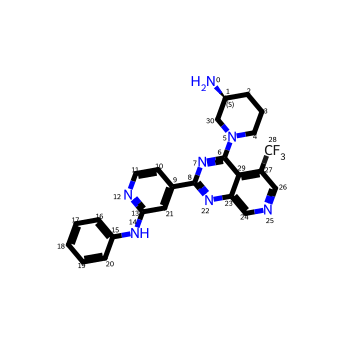 N[C@H]1CCCN(c2nc(-c3ccnc(Nc4ccccc4)c3)nc3cncc(C(F)(F)F)c23)C1